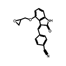 N#Cc1ccc(C=C2C(=O)Nc3cccc(OCC4CO4)c32)cc1